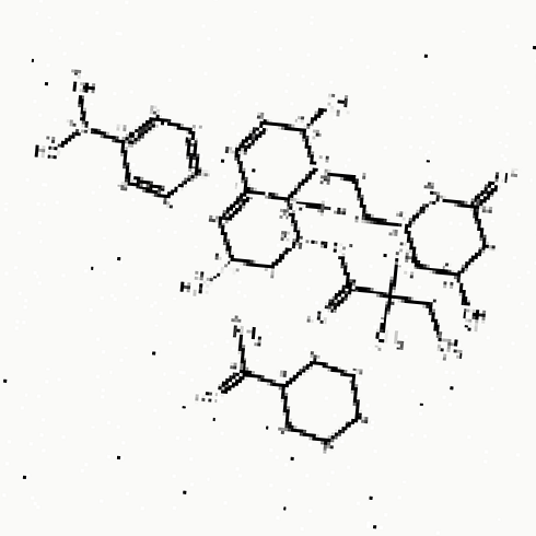 CCC(C)(C)C(=O)O[C@@H]1C[C@H](C)C=C2C=C[C@@H](C)[C@@H](CC[C@@H]3C[C@H](O)CC(=O)O3)[C@@H]21.NC(=O)C1CCCCC1.OB(O)c1ccccc1